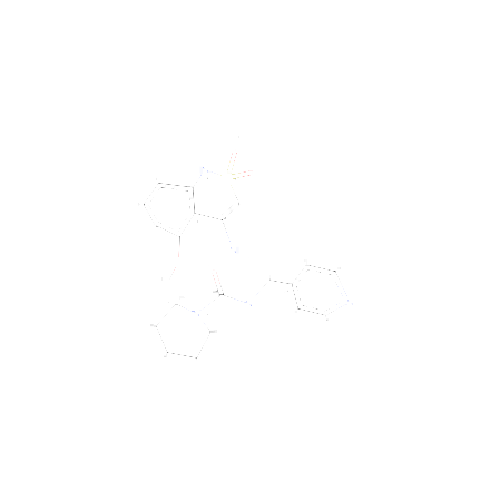 NC1=CS(=O)(=O)Nc2cccc(OC[C@H]3CCCCN3C(=O)NCc3ccncc3)c21